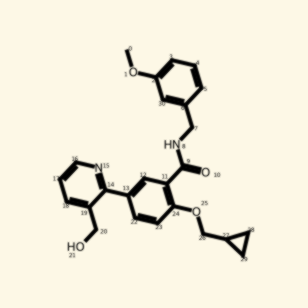 COc1cccc(CNC(=O)c2cc(-c3ncccc3CO)ccc2OCC2CC2)c1